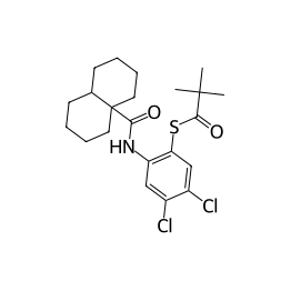 CC(C)(C)C(=O)Sc1cc(Cl)c(Cl)cc1NC(=O)C12CCCCC1CCCC2